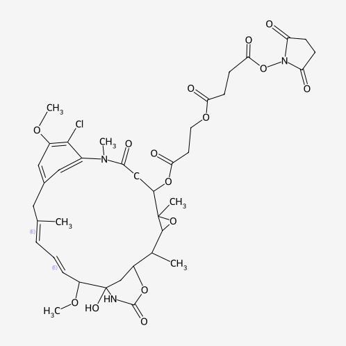 COc1cc2cc(c1Cl)N(C)C(=O)CC(OC(=O)CCOC(=O)CCC(=O)ON1C(=O)CCC1=O)C1(C)OC1C(C)C1CC(O)(NC(=O)O1)C(OC)/C=C/C=C(\C)C2